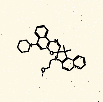 COCCN1c2ccc3ccccc3c2C(C)(C)C12C=Nc1c(cc(N3CCCCC3)c3ccccc13)O2